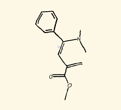 C=C(/C=C(/c1ccccc1)N(C)C)C(=O)OC